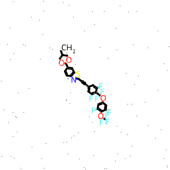 C=CC1COC(c2ccc3nc(C#Cc4cc(F)c(C(F)(F)Oc5cc(F)c(OC(F)(F)F)c(F)c5)c(F)c4)sc3c2)OC1